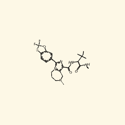 CNC(=O)C(NC(=O)c1nc(-c2ccc3c(c2)OC(F)(F)O3)n2c1CN(C)CCC2)C(C)(C)C